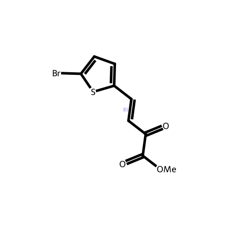 COC(=O)C(=O)/C=C/c1ccc(Br)s1